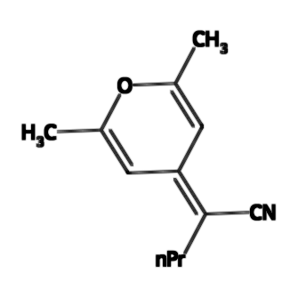 CCCC(C#N)=C1C=C(C)OC(C)=C1